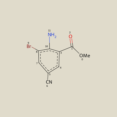 COC(=O)c1cc(C#N)cc(Br)c1N